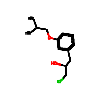 CCCC(CCC)COc1cccc(C[C@H](O)CCl)c1